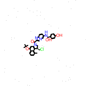 Cc1cccc2c(OC(C)(C)C)cc3c(c12)[C@H](CCl)CN3C(=O)c1cn2cc(NC(O)c3ccc(O)cc3)ccc2n1